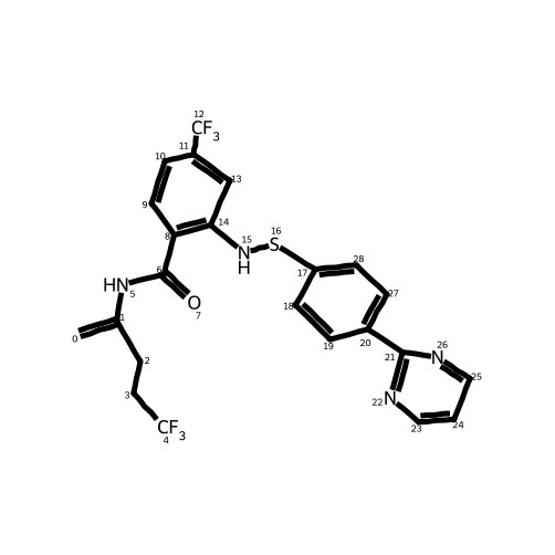 C=C(CCC(F)(F)F)NC(=O)c1ccc(C(F)(F)F)cc1NSc1ccc(-c2ncccn2)cc1